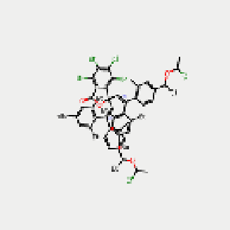 CCCCc1cc(CC)c(/C(=C\C2(/C=C(/c3ccc(C(CC)OC(C)Cl)cc3C)c3c(CC)cc(CCCC)cc3CC)OC(=O)c3c(Br)c(Br)c(Cl)c(Br)c32)c2ccc(C(CC)OC(C)Cl)cc2C)c(CC)c1